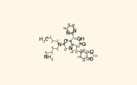 CCCCN(CCCCN)C(=O)CN1C[C@H](c2ccc3c(c2)OCO3)[C@@H](C(=O)O)[C@@H]1CCc1ncccn1